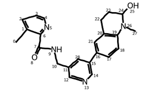 Cc1cccnc1C(=O)NCc1cncc(-c2ccc3c(c2)CCC(O)N3C)c1